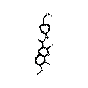 COc1ccc2cc(C(=O)Nc3ccc(CN)cc3)c(=O)oc2c1C